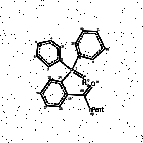 C=P(c1ccccc1)(c1ccccc1)c1ccccc1C(=O)CCCCC